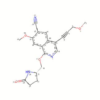 COCC#Cc1cnc(OC[C@@H]2CCC(=O)N2)c2cc(OC)c(C#N)cc12